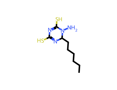 CCCCCCC1N=C(S)N=C(S)N1N